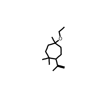 C=C(C)C1CCC(C)(OCC)CCC1(C)C